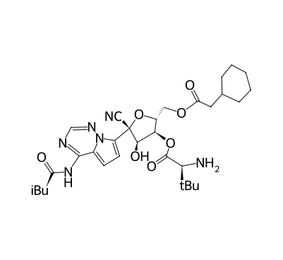 CC[C@H](C)C(=O)Nc1ncnn2c([C@]3(C#N)O[C@H](COC(=O)CC4CCCCC4)[C@@H](OC(=O)[C@@H](N)C(C)(C)C)[C@H]3O)ccc12